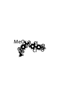 COCC(C(=O)Nc1cc(Cl)c(-c2ccc(S(C)(=O)=O)cc2)c(Cl)c1)c1ccc(S(=O)(=O)CC2CC2)cc1